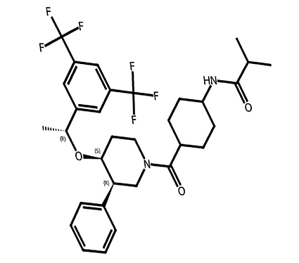 CC(C)C(=O)NC1CCC(C(=O)N2CC[C@H](O[C@H](C)c3cc(C(F)(F)F)cc(C(F)(F)F)c3)[C@H](c3ccccc3)C2)CC1